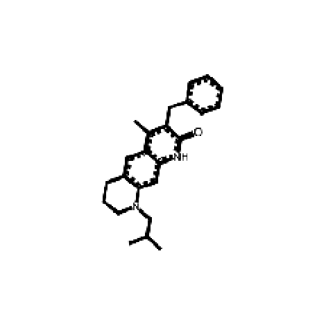 Cc1c(Cc2ccccc2)c(=O)[nH]c2cc3c(cc12)CCCN3CC(C)C